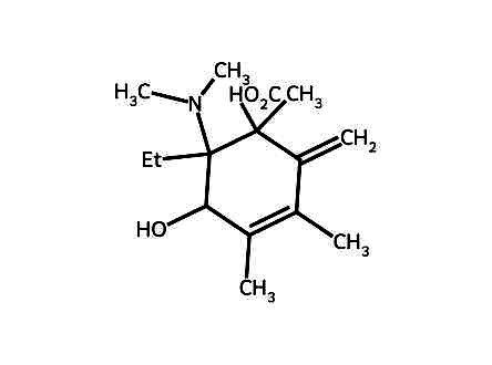 C=C1C(C)=C(C)C(O)C(CC)(N(C)C)C1(C)C(=O)O